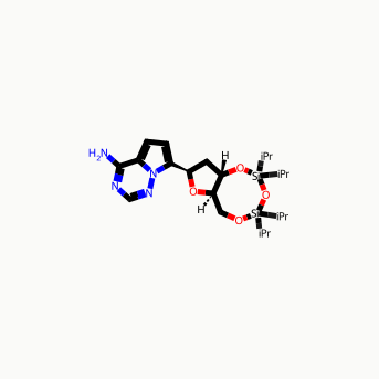 CC(C)[Si]1(C(C)C)OC[C@H]2O[C@@H](c3ccc4c(N)ncnn34)C[C@@H]2O[Si](C(C)C)(C(C)C)O1